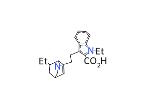 CCC1CC2C=CC1N(CCc1c(C(=O)O)n(CC)c3ccccc13)C2